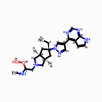 CCNC(CN1C[C@@H]2C[C@@](CC#N)(n3cc(-c4ncnc5[nH]ccc45)cn3)C[C@@H]2C1)OO